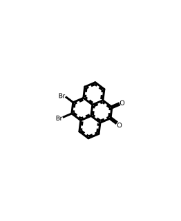 O=c1c(=O)c2cccc3c(Br)c(Br)c4cccc1c4c32